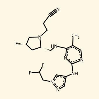 Cc1cnc(Nc2cnn(CC(F)F)c2)nc1NC[C@@H]1C[C@H](F)CN1CCC#N